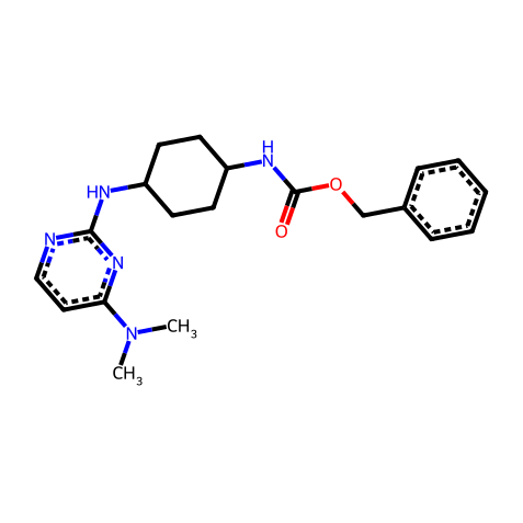 CN(C)c1ccnc(NC2CCC(NC(=O)OCc3ccccc3)CC2)n1